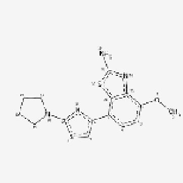 COc1ccc(-c2csc(N3CCCC3)n2)c2sc(N)nc12